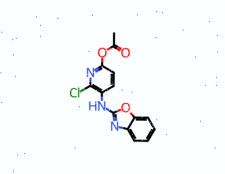 CC(=O)Oc1ccc(Nc2nc3ccccc3o2)c(Cl)n1